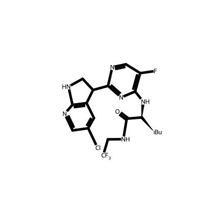 CC[C@H](C)[C@H](Nc1nc(C2CNc3ncc(Cl)cc32)ncc1F)C(=O)NCC(F)(F)F